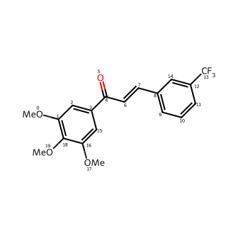 COc1cc(C(=O)/C=C/c2cccc(C(F)(F)F)c2)cc(OC)c1OC